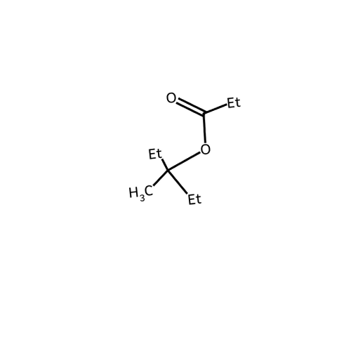 [CH2]CC(=O)OC(C)(CC)CC